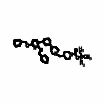 CC(C)(C)OC(=O)N1CCC(CN2CCN(c3cccc(-c4ccc(OCc5ccccc5)nc4OCc4ccccc4)c3)CC2)CC1